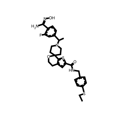 CCSc1ccc(CNC(=O)c2cc3c(s2)C2(CCN(C(C)c4ccc(/C(N)=N\O)c(F)c4)CC2)OCC3)cc1